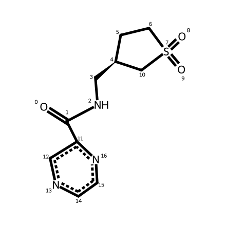 O=C(NC[C@H]1CCS(=O)(=O)C1)c1cnccn1